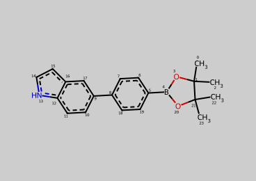 CC1(C)OB(c2ccc(-c3ccc4[nH]ccc4c3)cc2)OC1(C)C